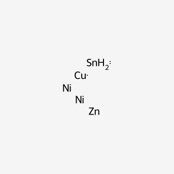 [Cu].[Ni].[Ni].[SnH2].[Zn]